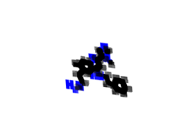 Cc1cc2nc(-c3cncn3C)cc(NCCc3ccccc3)c2cc1CCN